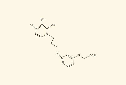 CCCc1c(CCCOc2cccc(OCC(=O)O)c2)ccc(C(C)=O)c1O